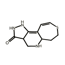 O=C1NNC2=C3C=CSCCC3NCC12